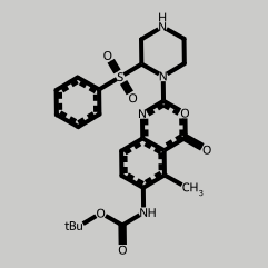 Cc1c(NC(=O)OC(C)(C)C)ccc2nc(N3CCNCC3S(=O)(=O)c3ccccc3)oc(=O)c12